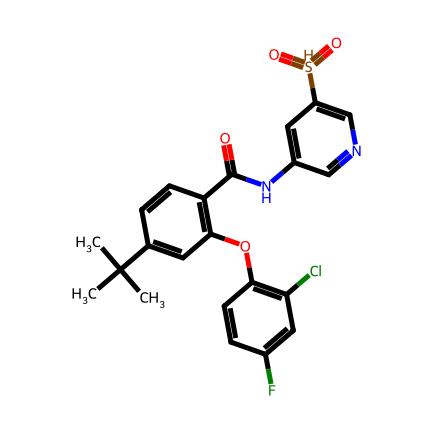 CC(C)(C)c1ccc(C(=O)Nc2cncc([SH](=O)=O)c2)c(Oc2ccc(F)cc2Cl)c1